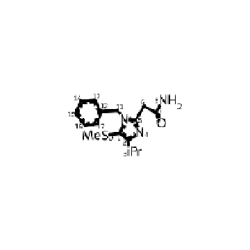 CSc1c(C(C)C)nc(CC(N)=O)n1Cc1ccccc1